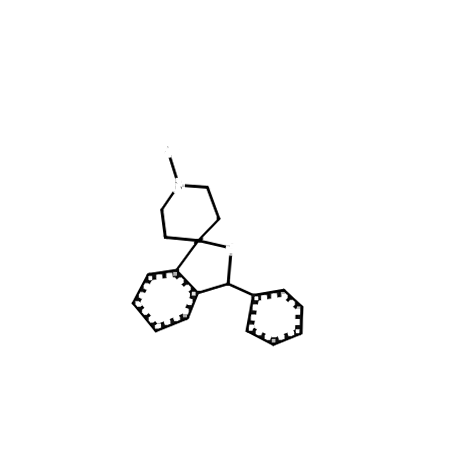 CC(=O)N1CCC2(CC1)SC(c1ccccc1)c1ccccc12